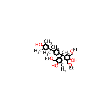 CCOCc1cc(C(C)(c2ccc(C(C)(C)c3cc(C)c(O)c(C)c3)cc2)c2cc(COCC)c(O)c(COCC)c2)cc(C)c1O